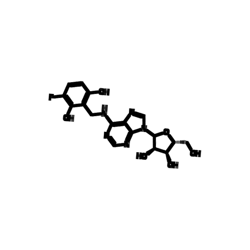 OC[C@H]1OC(n2cnc3c(NCc4c(O)ccc(F)c4O)ncnc32)[C@H](O)[C@@H]1O